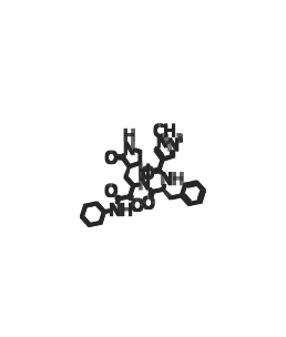 Cn1cc(C(=O)N[C@@H](Cc2ccccc2)C(=O)NC(C[C@@H]2CCNC2=O)C(=O)C(=O)NC2CCCCC2)cn1